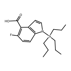 CCC[Si](CCC)(CCC)n1ccc2c(C(=O)O)c(F)ccc21